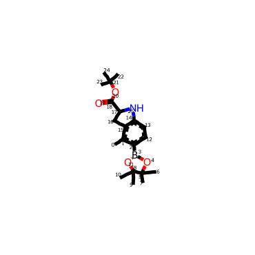 Cc1c(B2OC(C)(C)C(C)(C)O2)ccc2c1CC(C(=O)OC(C)(C)C)N2